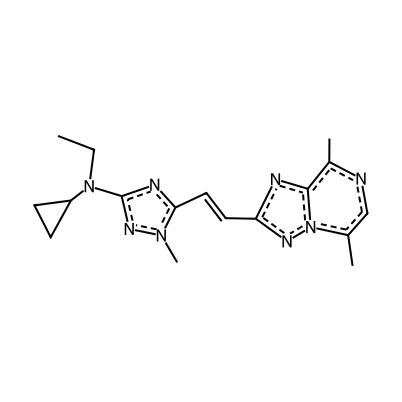 CCN(c1nc(/C=C/c2nc3c(C)ncc(C)n3n2)n(C)n1)C1CC1